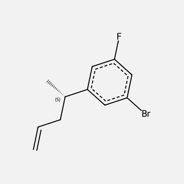 C=CC[C@H](C)c1cc(F)cc(Br)c1